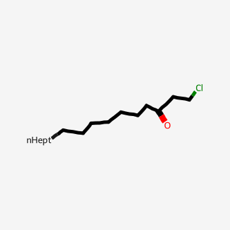 CCCCCCCCCCCCCCC(=O)CCCl